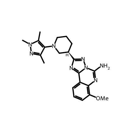 COc1cccc2c1nc(N)n1nc([C@@H]3CCCN(c4c(C)nn(C)c4C)C3)nc21